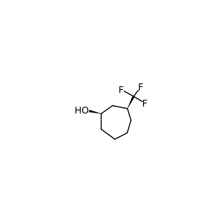 O[C@@H]1CCCC[C@H](C(F)(F)F)C1